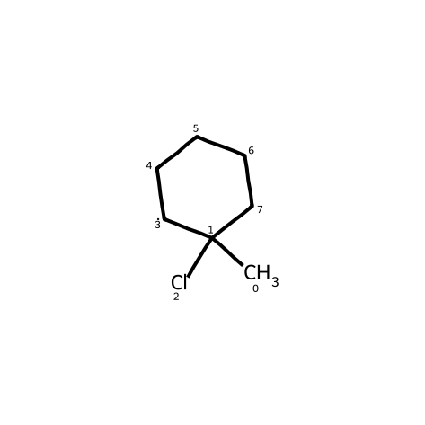 CC1(Cl)[CH]CCCC1